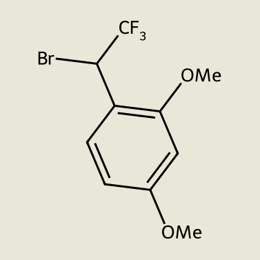 COc1ccc(C(Br)C(F)(F)F)c(OC)c1